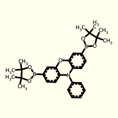 CC1(C)OB(c2ccc3c(c2)Oc2cc(B4OC(C)(C)C(C)(C)O4)ccc2N3c2ccccc2)OC1(C)C